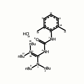 CCCCN(CCCC)C(NC(=O)Nc1c(C)cccc1C)=[N+](CCCC)CCCC.Cl